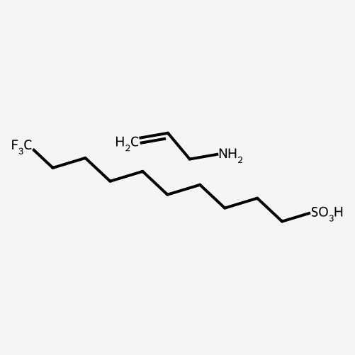 C=CCN.O=S(=O)(O)CCCCCCCCCC(F)(F)F